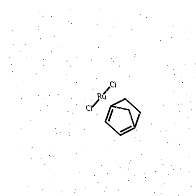 C1=C2CCC(=C1)C2.[Cl][Ru][Cl]